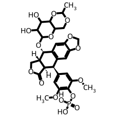 COc1cc([C@@H]2c3cc4c(cc3[C@@H](OC3OC5COC(C)OC5C(O)C3O)[C@H]3COC(=O)[C@H]23)OCO4)cc(OC)c1OP(=O)(O)O